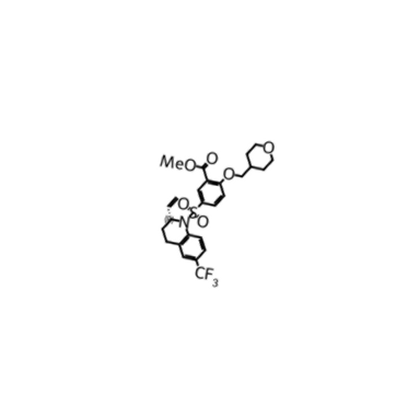 C=C[C@H]1CCc2cc(C(F)(F)F)ccc2N1S(=O)(=O)c1ccc(OCC2CCOCC2)c(C(=O)OC)c1